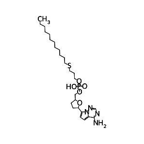 CCCCCCCCCCCCSCCCOP(=O)(O)OCC1CCC(c2ccc3c(N)ncnn23)O1